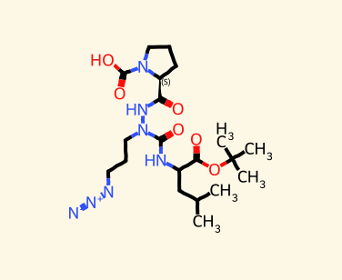 CC(C)CC(NC(=O)N(CCCN=[N+]=[N-])NC(=O)[C@@H]1CCCN1C(=O)O)C(=O)OC(C)(C)C